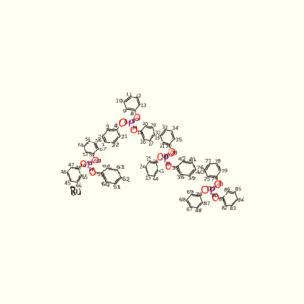 [Ru].c1ccc(OP(Oc2ccccc2)Oc2ccccc2)cc1.c1ccc(OP(Oc2ccccc2)Oc2ccccc2)cc1.c1ccc(OP(Oc2ccccc2)Oc2ccccc2)cc1.c1ccc(OP(Oc2ccccc2)Oc2ccccc2)cc1